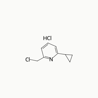 Cl.ClCc1cccc(C2CC2)n1